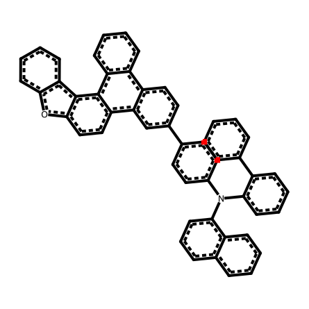 c1ccc(-c2ccccc2N(c2ccc(-c3ccc4c5ccccc5c5c(ccc6oc7ccccc7c65)c4c3)cc2)c2cccc3ccccc23)cc1